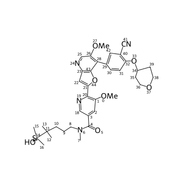 COc1cc(C(=O)N(C)CCCC(C)(C)[Si](C)(C)O)cnc1-c1cc2ncc(OC)c(-c3ccc(OC4CCOCC4)c(C#N)c3)c2o1